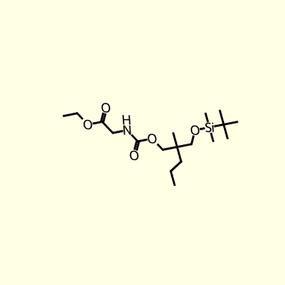 CCCC(C)(COC(=O)NCC(=O)OCC)CO[Si](C)(C)C(C)(C)C